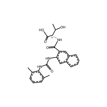 Cc1cccc(C)c1NC(=O)Nc1cc2ccccc2cc1C(=O)N[C@H](C(=O)O)C(C)O